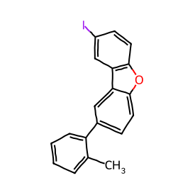 Cc1ccccc1-c1ccc2oc3ccc(I)cc3c2c1